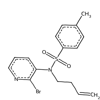 C=CCCN(c1cccnc1Br)S(=O)(=O)c1ccc(C)cc1